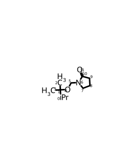 CC(C)C(C)(C)OCN1CCCC1=O